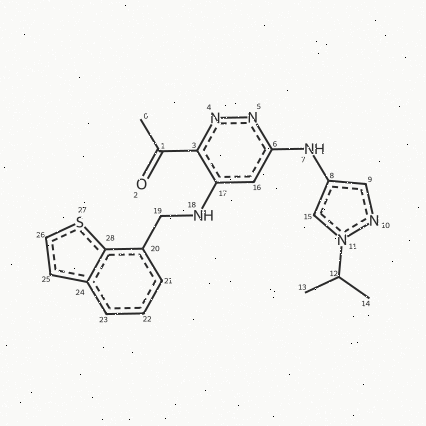 CC(=O)c1nnc(Nc2cnn(C(C)C)c2)cc1NCc1cccc2ccsc12